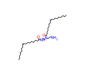 CCCCCCCC/C=C\CCCCCCCC(=O)NCCN(CCN)C(=O)CCCCCCC/C=C\CCCCCCCC